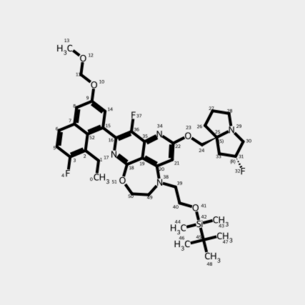 CCc1c(F)ccc2cc(OCOC)cc(-c3nc4c5c(cc(OC[C@@]67CCCN6C[C@H](F)C7)nc5c3F)N(CCO[Si](C)(C)C(C)(C)C)CCO4)c12